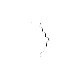 CCCCC[C@H](O)[C@@H](O)/C=C/C=C/C=C\C=C\[C@@H](O)CCCC(=O)O